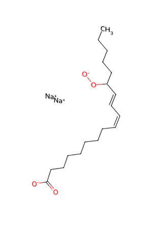 CCCCCC(/C=C/C=C\CCCCCCCC(=O)[O-])O[O-].[Na+].[Na+]